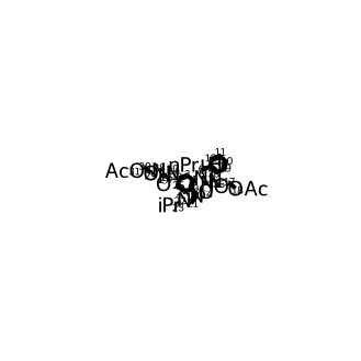 CCCN(c1cc(N(Cc2ccccc2)[NH+]([O-])NOCOC(C)=O)c2ncn(C(C)C)c2c1)/[N+]([O-])=N/OCOC(C)=O